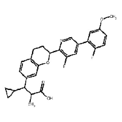 COc1ccc(F)c(-c2cnc(C3CCc4ccc(C(C5CC5)[C@H](C)C(=O)O)cc4O3)c(F)c2)c1